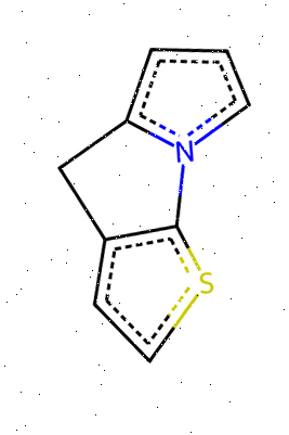 c1cc2n(c1)-c1sccc1C2